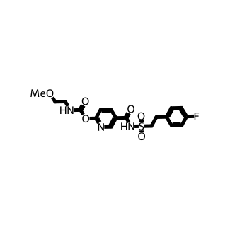 COCCNC(=O)Oc1ccc(C(=O)NS(=O)(=O)CCc2ccc(F)cc2)cn1